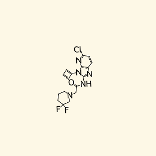 O=C(CN1CCCC(F)(F)C1)Nc1nc2ccc(Cl)nc2n1C1=CC=C1